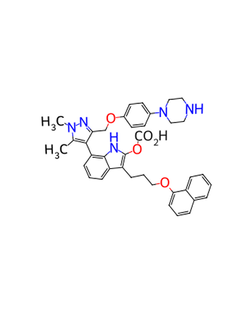 Cc1c(-c2cccc3c(CCCOc4cccc5ccccc45)c(OC(=O)O)[nH]c23)c(COc2ccc(N3CCNCC3)cc2)nn1C